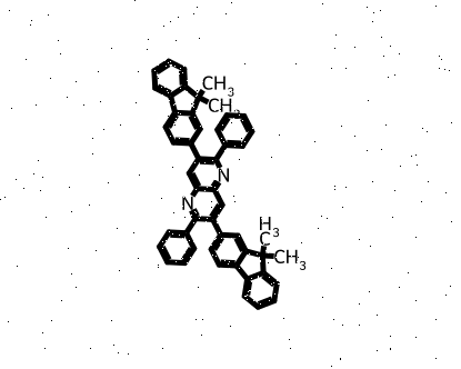 CC1(C)c2ccccc2-c2ccc(-c3cc4nc(-c5ccccc5)c(-c5ccc6c(c5)C(C)(C)c5ccccc5-6)cc4nc3-c3ccccc3)cc21